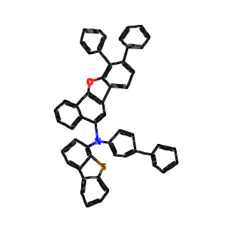 c1ccc(-c2ccc(N(c3cc4c5ccc(-c6ccccc6)c(-c6ccccc6)c5oc4c4ccccc34)c3cccc4c3sc3ccccc34)cc2)cc1